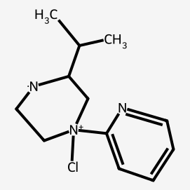 CC(C)C1C[N+](Cl)(c2ccccn2)CC[N]1